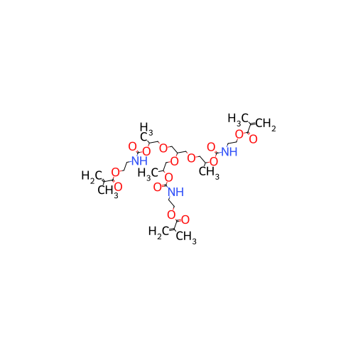 C=C(C)C(=O)OCCNC(=O)OC(C)COCC(COCC(C)OC(=O)NCCOC(=O)C(=C)C)OCC(C)OC(=O)NCCOC(=O)C(=C)C